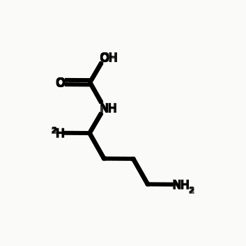 [2H]C(CCCN)NC(=O)O